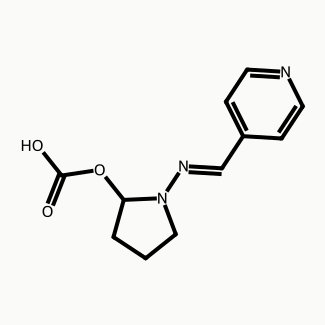 O=C(O)OC1CCCN1N=Cc1ccncc1